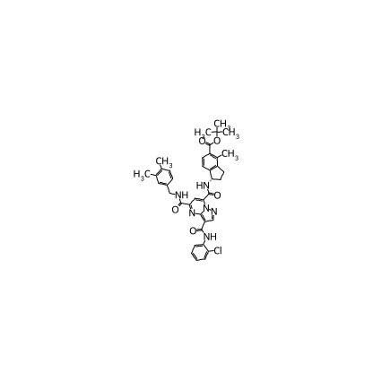 Cc1ccc(CNC(=O)c2cc(C(=O)N[C@H]3CCc4c3ccc(C(=O)OC(C)(C)C)c4C)n3ncc(C(=O)Nc4ccccc4Cl)c3n2)cc1C